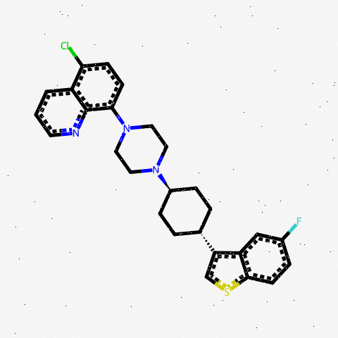 Fc1ccc2scc([C@H]3CC[C@H](N4CCN(c5ccc(Cl)c6cccnc56)CC4)CC3)c2c1